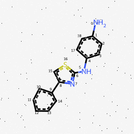 Nc1ccc(Nc2nc(-c3ccccc3)cs2)cc1